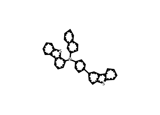 c1ccc2cc(N(c3ccc(-c4ccc5sc6ccccc6c5c4)cc3)c3cccc4c3sc3ccccc34)ccc2c1